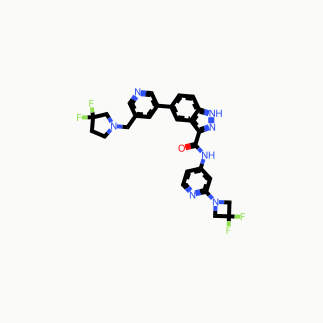 O=C(Nc1ccnc(N2CC(F)(F)C2)c1)c1n[nH]c2ccc(-c3cncc(CN4CCC(F)(F)C4)c3)cc12